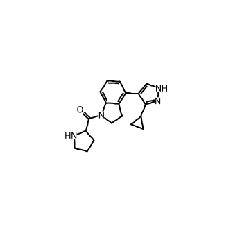 O=C(C1CCCN1)N1CCc2c(-c3c[nH]nc3C3CC3)cccc21